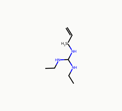 C=C[SiH2]NC(NCC)NCC